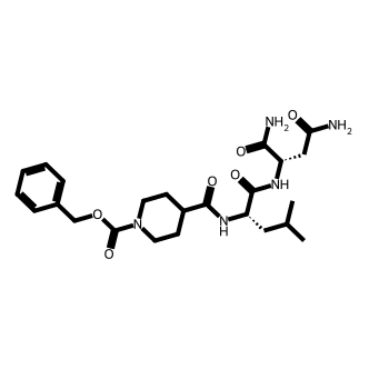 CC(C)C[C@H](NC(=O)C1CCN(C(=O)OCc2ccccc2)CC1)C(=O)N[C@@H](CC(N)=O)C(N)=O